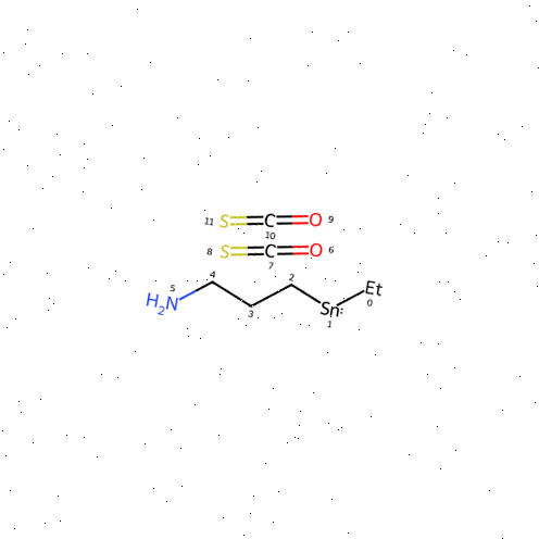 C[CH2][Sn][CH2]CCN.O=C=S.O=C=S